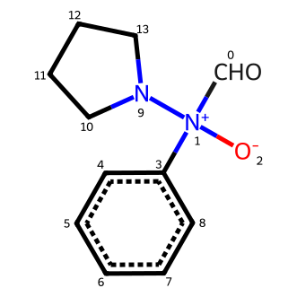 O=C[N+]([O-])(c1ccccc1)N1CCCC1